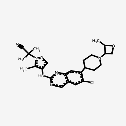 Cc1c(Nc2ncc3cc(Cl)c(C4CCN(C5COC5C)CC4)cc3n2)cnn1C(C)(C)C#N